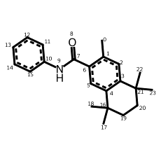 Cc1cc2c(cc1C(=O)Nc1ccccc1)C(C)(C)CCC2(C)C